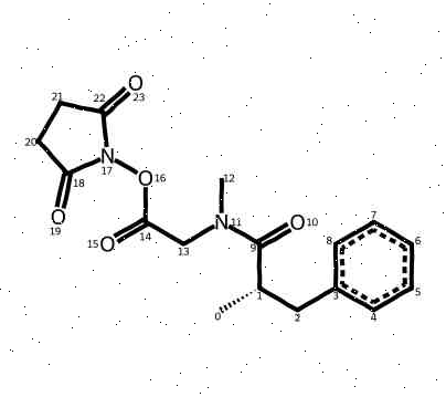 C[C@@H](Cc1ccccc1)C(=O)N(C)CC(=O)ON1C(=O)CCC1=O